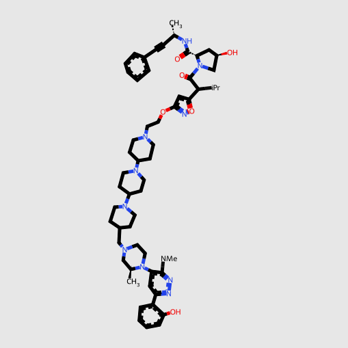 CNc1nnc(-c2ccccc2O)cc1N1CCN(CC2CCN(C3CCN(C4CCN(CCOc5cc(C(C(=O)N6C[C@H](O)C[C@H]6C(=O)N[C@@H](C)C#Cc6ccccc6)C(C)C)on5)CC4)CC3)CC2)C[C@@H]1C